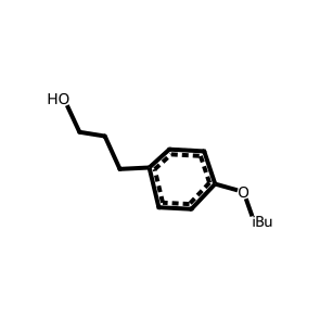 CCC(C)Oc1ccc(CCCO)cc1